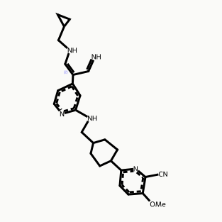 COc1ccc(C2CCC(CNc3cc(/C(C=N)=C/NCC4CC4)ccn3)CC2)nc1C#N